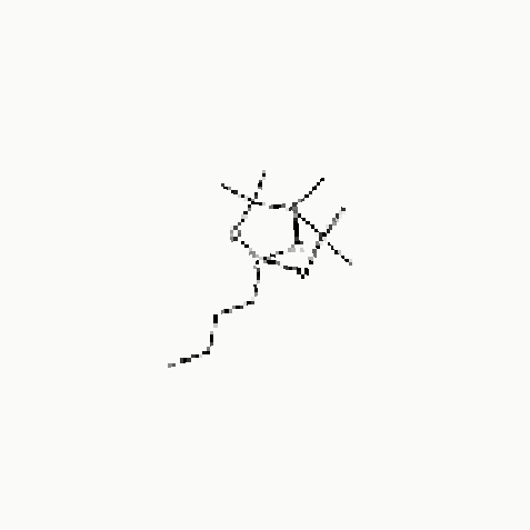 CCCC[Si]12OC(C)(C)C(C)(O1)C(C)(C)O2